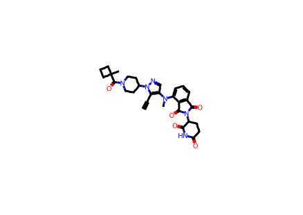 C#Cc1c(N(C)c2cccc3c2C(=O)N(C2CCC(=O)NC2=O)C3=O)cnn1C1CCN(C(=O)C2(C)CCC2)CC1